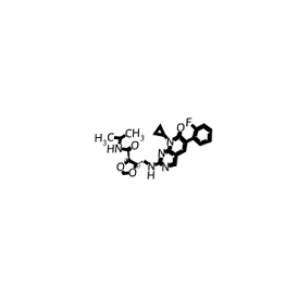 CC(C)NC(=O)[C@@H]1OCO[C@H]1CNc1ncc2cc(-c3ccccc3F)c(=O)n(C3CC3)c2n1